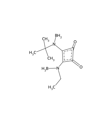 BN(CC)c1c(N(B)C(C)(C)C)c(=O)c1=O